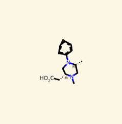 C[C@@H]1CN(C)[C@H](CC(=O)O)CN1c1ccccc1